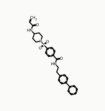 C=CC(=O)NC1CCN(S(=O)(=O)c2ccc(C(=O)NCCc3ccc(-c4ccccc4)cc3)cc2)CC1